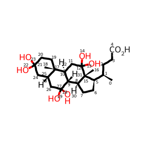 C[C@H](CCC(=O)O)[C@H]1CC[C@H]2[C@H]3[C@H](CC(O)(O)[C@]12C)[C@@]1(C)CCC(O)(O)C[C@H]1CC3(O)O